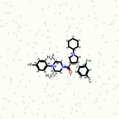 C[C@@H]1CN(C(=O)[C@H]2CN(C3CCCCC3)C[C@@H]2c2ccc(F)cc2F)C[C@H](C)N1c1ccc(F)cc1